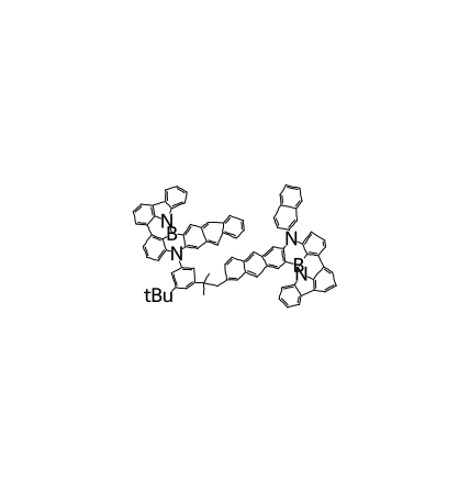 CC(C)(C)c1cc(N2c3cc4cc5ccccc5cc4cc3B3c4c(cccc42)-c2cccc4c5ccccc5n3c24)cc(C(C)(C)Cc2ccc3cc4cc5c(cc4cc3c2)B2c3c(cccc3N5c3ccc4ccccc4c3)-c3cccc4c5ccccc5n2c34)c1